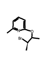 Cc1cccc(OC(C)[C@@H](C)Br)n1